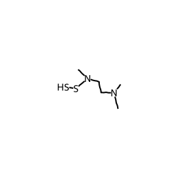 CN(C)CCN(C)SS